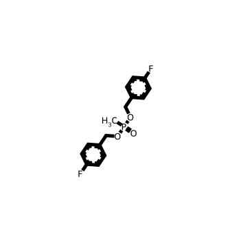 CP(=O)(OCc1ccc(F)cc1)OCc1ccc(F)cc1